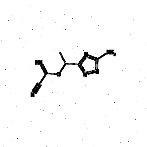 CC(OC(=N)C#N)c1nsc(N)n1